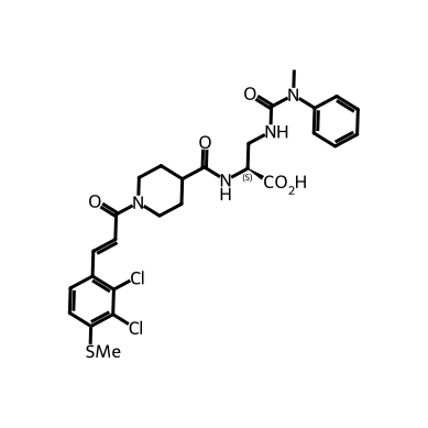 CSc1ccc(C=CC(=O)N2CCC(C(=O)N[C@@H](CNC(=O)N(C)c3ccccc3)C(=O)O)CC2)c(Cl)c1Cl